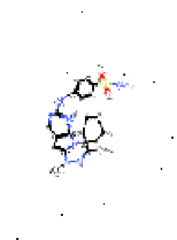 CC(=O)OC1=NN(C)c2cc3cnc(Nc4ccc(S(N)(=O)=O)cc4)nc3n2C12CCCCC2